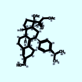 CC(=O)OCC(=O)[C@@]1(OC(C)=O)CC[C@H]2[C@@H]3CCC4=CC(=NO)CCC4=C3[C@@H](c3ccc(N(C)C)cc3)C[C@@]21C